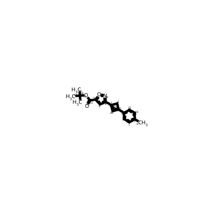 Cc1ccc(C23CC(c4cc(C(=O)OC(C)(C)C)on4)(C2)C3)cc1